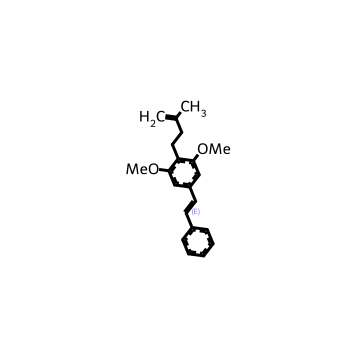 C=C(C)CCc1c(OC)cc(/C=C/c2ccccc2)cc1OC